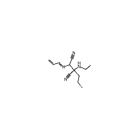 C=C/C=N/C(C#N)C(C#N)(CCC)NCC